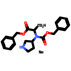 O=C(O)C(C(=O)OCc1ccccc1)N(C(=O)OCc1ccccc1)C1CCNC1.[Na]